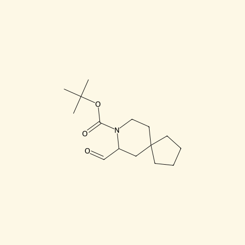 CC(C)(C)OC(=O)N1CCC2(CCCC2)CC1C=O